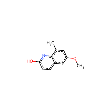 COc1cc(C)c2nc(O)ccc2c1